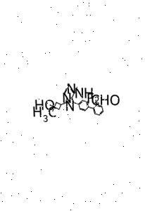 CC1(O)CC(c2nc(-c3ccc(-c4ccccc4C=O)c(F)c3)c3c(N)nccn23)C1